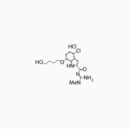 CNC(N)=NC(=O)c1cc2c(Cl)ccc(OCCCCO)c2[nH]1.Cl